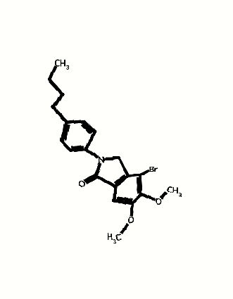 CCCCc1ccc(N2Cc3c(cc(OC)c(OC)c3Br)C2=O)cc1